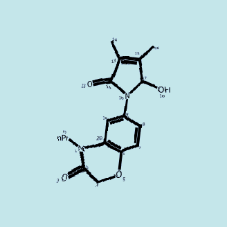 CCCN1C(=O)COc2ccc(N3C(=O)C(C)=C(C)C3O)cc21